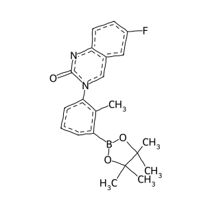 Cc1c(B2OC(C)(C)C(C)(C)O2)cccc1-n1cc2cc(F)ccc2nc1=O